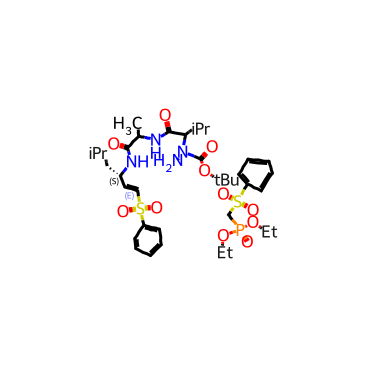 CC(C)C[C@@H](/C=C/S(=O)(=O)c1ccccc1)NC(=O)C(C)NC(=O)C(C(C)C)N(N)C(=O)OC(C)(C)C.CCOP(=O)(CS(=O)(=O)c1ccccc1)OCC